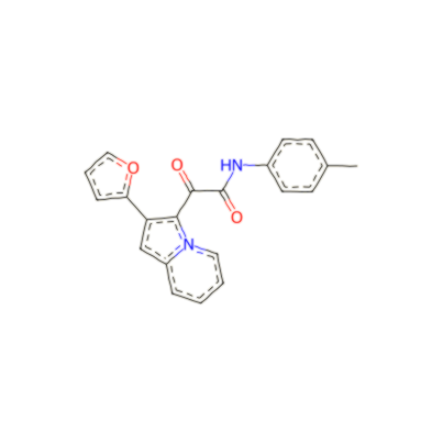 Cc1ccc(NC(=O)C(=O)c2c(-c3ccco3)cc3ccccn23)cc1